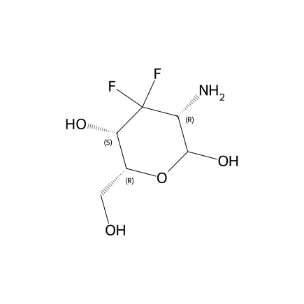 N[C@@H]1C(O)O[C@H](CO)[C@H](O)C1(F)F